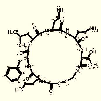 CC(C)CC1NC(=O)[C@@H](Cc2ccccc2)NC(=O)C(CCN)NC(=O)CCCNC(=O)C(C(C)O)NC(=O)C(CCN)NC(=O)C(CCN)NC1=O